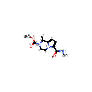 CC(C)NC(=O)c1ccc2n1CCN(C(=O)OC(C)(C)C)C2C